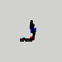 C=CCc1ccc2cc(-c3ncc(C=CCCCC(C)OCCCCC)cn3)ccc2c1